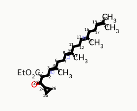 CCOC(=O)C(C/C=C(\C)CC/C=C(\C)CC/C=C(\C)CCC=C(C)C)C(=O)C1CC1